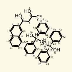 OC(CC(O)C(F)(F)F)c1ccc2ccccc2c1.O[PH](O)(c1ccccc1)c1ccccc1.O[PH](O)(c1ccccc1)c1ccccc1